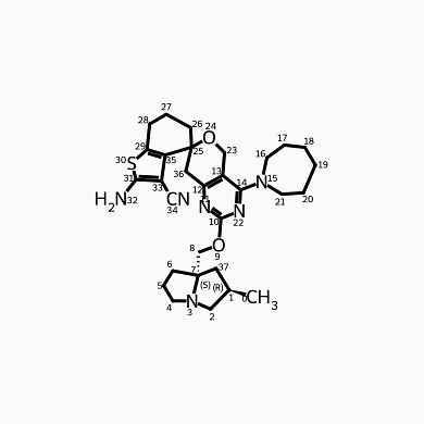 C[C@H]1CN2CCC[C@@]2(COc2nc3c(c(N4CCCCCC4)n2)COC2(CCCc4sc(N)c(C#N)c42)C3)C1